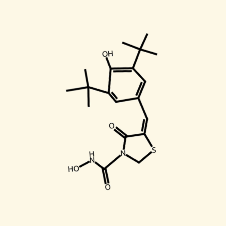 CC(C)(C)c1cc(C=C2SCN(C(=O)NO)C2=O)cc(C(C)(C)C)c1O